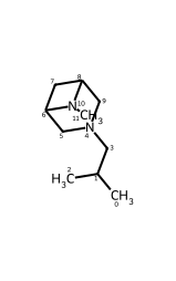 CC(C)CN1CC2CC(C1)N2C